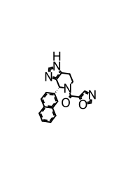 O=C(c1cnco1)N1CCc2[nH]cnc2[C@H]1c1ccc2ccccc2c1